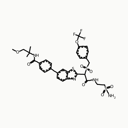 COCC(C)(C)NC(=O)c1ccc(-c2ccc3nc(C(C(=O)NCCS(N)(=O)=O)S(=O)(=O)Cc4ccc(OC(F)(F)F)cc4)sc3c2)cc1